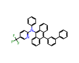 FC(F)(F)c1ccc(N(c2ccccc2)c2c3ccccc3c(-c3cccc(-c4ccccc4)c3)c3ccccc23)nc1